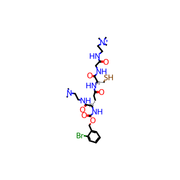 CN(C)CCNC(=O)[C@H](CCC(=O)N[C@@H](CS)C(=O)NCC(=O)NCC[N+](C)(C)C)NC(=O)OCc1ccccc1Br